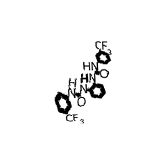 O=C(Nc1cccc(C(F)(F)F)c1)Nc1ccccc1NC(=O)Nc1cccc(C(F)(F)F)c1